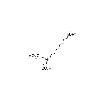 CCCCCCCCCCCCCCCCCCCN(CCC(=O)O)CCC(=O)O